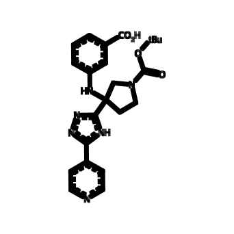 CC(C)(C)OC(=O)N1CCC(Nc2cccc(C(=O)O)c2)(c2nnc(-c3ccncc3)[nH]2)C1